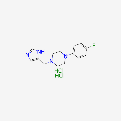 Cl.Cl.Fc1ccc(N2CCN(Cc3cnc[nH]3)CC2)cc1